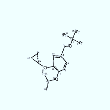 CC(C)[Si](OCc1ccc(OC(F)F)c(OC2CC2)c1)(C(C)C)C(C)C